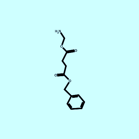 NCOC(=O)CCC(=O)OCc1ccccc1